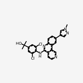 Cn1cc(-c2ccc3nc(Nc4c(Cl)cc(C(C)(C)O)cc4Cl)c4ccncc4c3c2)cn1